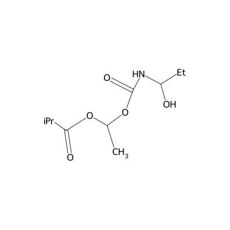 [CH2]CC(O)NC(=O)OC(C)OC(=O)C(C)C